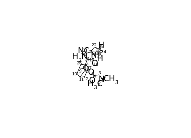 CN(C)CC(=O)OC12CC3CC(C1)CC([C@H](N)C(=O)N1[C@H](C#N)C[C@@H]4C[C@@H]41)(C3)C2